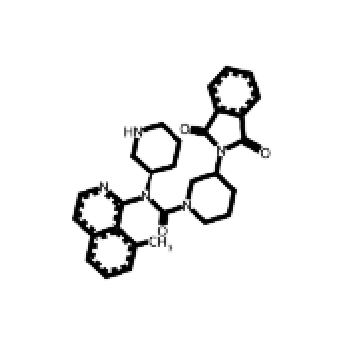 Cc1cccc2ccnc(N(C(=O)N3CCCC(N4C(=O)c5ccccc5C4=O)C3)[C@@H]3CCCNC3)c12